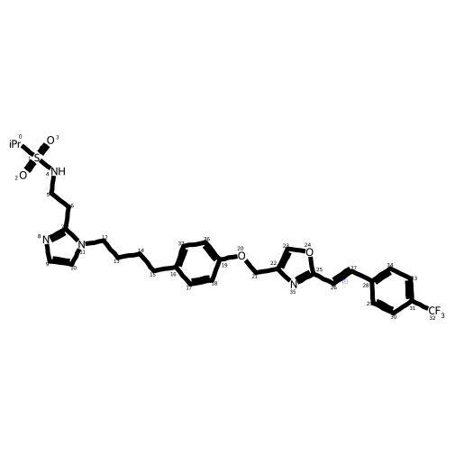 CC(C)S(=O)(=O)NCCc1nccn1CCCCc1ccc(OCc2coc(/C=C/c3ccc(C(F)(F)F)cc3)n2)cc1